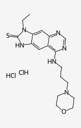 CCn1c(=S)[nH]c2cc3c(NCCCN4CCOCC4)ncnc3cc21.Cl.Cl